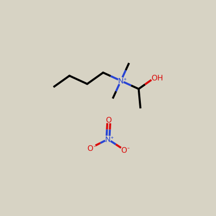 CCCC[N+](C)(C)C(C)O.O=[N+]([O-])[O-]